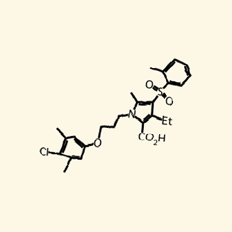 CCc1c(S(=O)(=O)c2ccccc2C)c(C)n(CCCOc2cc(C)c(Cl)c(C)c2)c1C(=O)O